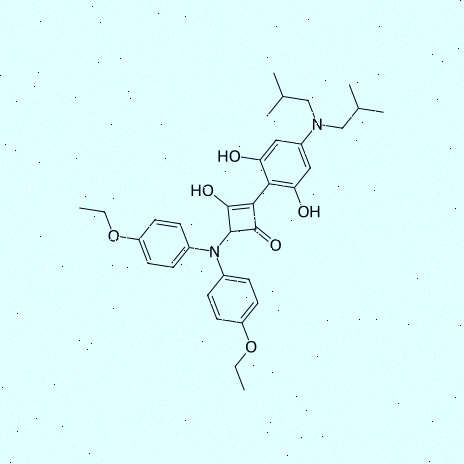 CCOc1ccc(N(c2ccc(OCC)cc2)C2C(=O)C(c3c(O)cc(N(CC(C)C)CC(C)C)cc3O)=C2O)cc1